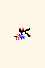 CCCCC(CCC)c1occc1-c1nnnn1OC(C)=O